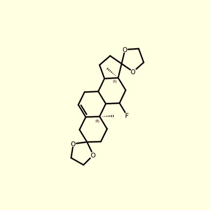 C[C@]12CCC3(CC1=CCC1C2C(F)C[C@@]2(C)C1CCC21OCCO1)OCCO3